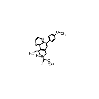 CC(C)(C)OC(=O)NCc1cc(-c2ccc(OC(F)(F)F)cc2)c2nccnc2c1C(O)CO